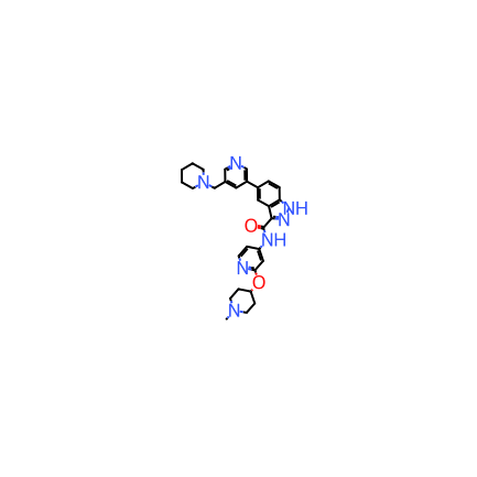 CN1CCC(Oc2cc(NC(=O)c3n[nH]c4ccc(-c5cncc(CN6CCCCC6)c5)cc34)ccn2)CC1